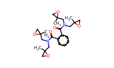 CC1(CN(CC2(C)CO2)C(=O)c2ccccc2C(=O)N(CC2(C)CO2)CC2(C)CO2)CO1